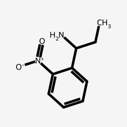 CCC(N)c1ccccc1[N+](=O)[O-]